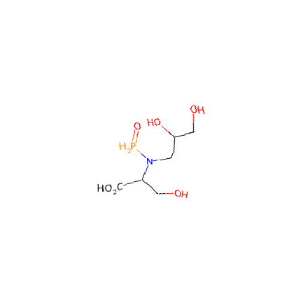 O=[PH2]N(CC(O)CO)C(CO)C(=O)O